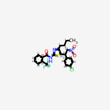 CCCCc1nc(NC(=O)c2ccccc2C(F)(F)F)sc1C(C[N+](=O)[O-])c1ccc(Cl)cc1